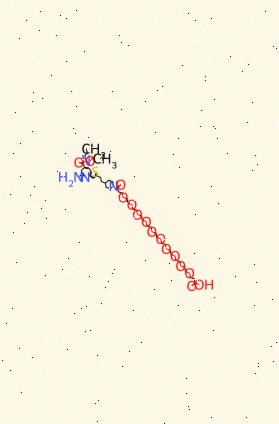 CCCN(OCC)C(=O)C1=Cc2sc(CCC3CCN(C(=O)CCOCCOCCOCCOCCOCCOCCOCCOCCOCCOCCC(=O)O)CC3)cc2N=C(N)C1